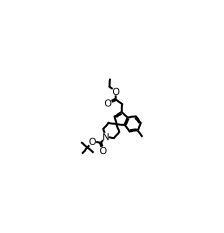 CCOC(=O)CC1=CC2(CCN(C(=O)OC(C)(C)C)CC2)c2cc(C)ccc21